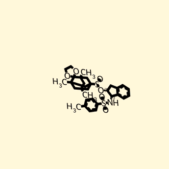 Cc1ccc(S(=O)(=O)N[C@@H]2c3ccccc3C[C@@H]2OS(=O)C23CC4(C)CC(C)(C2)C2(OCCO2)C(C)(C4)C3)cc1